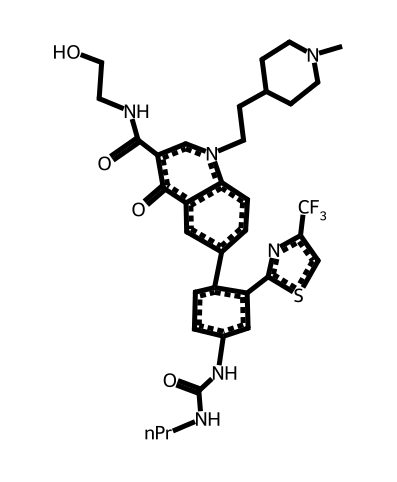 CCCNC(=O)Nc1ccc(-c2ccc3c(c2)c(=O)c(C(=O)NCCO)cn3CCC2CCN(C)CC2)c(-c2nc(C(F)(F)F)cs2)c1